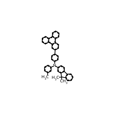 Cc1cccc(N(c2ccc(-c3ccc4c5ccccc5c5ccccc5c4c3)cc2)c2ccc3c(c2)C(C)(C)c2ccccc2-3)c1